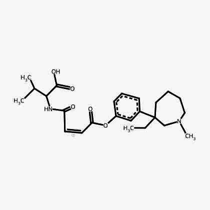 CCC1(c2cccc(OC(=O)/C=C\C(=O)NC(C(=O)O)C(C)C)c2)CCCCN(C)C1